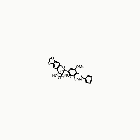 COc1cc([C@@H]2Oc3cc4c(cc3[C@H](O)[C@@]2(Cl)[N+](=O)[O-])OCO4)cc(OC)c1OCc1ccccc1